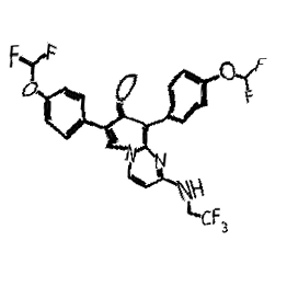 O=c1c(-c2ccc(OC(F)F)cc2)cn2ccc(NCC(F)(F)F)nc2c1-c1ccc(OC(F)F)cc1